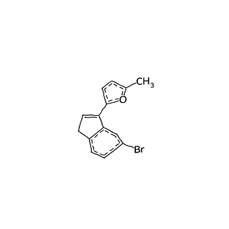 Cc1ccc(C2=CCc3ccc(Br)cc32)o1